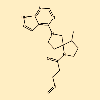 C=NCCC(=O)N1CCC(C)C12CCN(c1ncnc3[nH]ccc13)C2